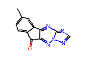 Cc1ccc2c(c1)-c1nc3ncnn3nc1C2=O